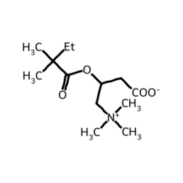 CCC(C)(C)C(=O)OC(CC(=O)[O-])C[N+](C)(C)C